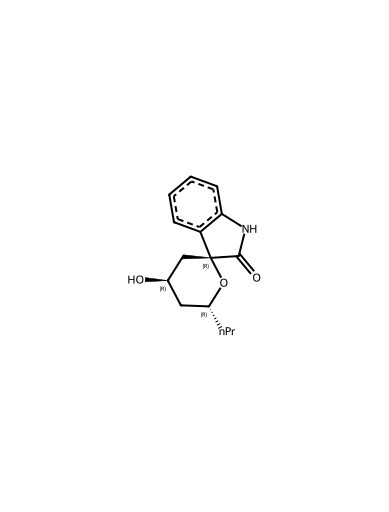 CCC[C@@H]1C[C@@H](O)C[C@]2(O1)C(=O)Nc1ccccc12